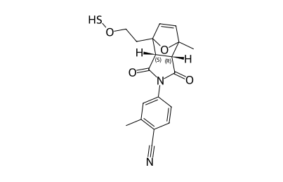 Cc1cc(N2C(=O)[C@@H]3[C@H](C2=O)C2(CCOS)C=CC3(C)O2)ccc1C#N